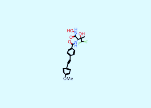 COc1ccc(C#Cc2ccc(C(=O)N[C@H](C(=O)NO)C(C)(O)C(F)F)cc2)cc1